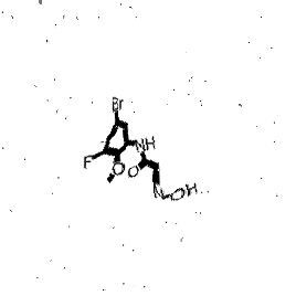 COc1c(F)cc(Br)cc1NC(=O)/C=N/O